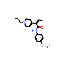 C/C=C(\C(=O)Nc1ccc(S(=O)(=O)O)cc1)c1cc[n+](CC(C)=O)cc1